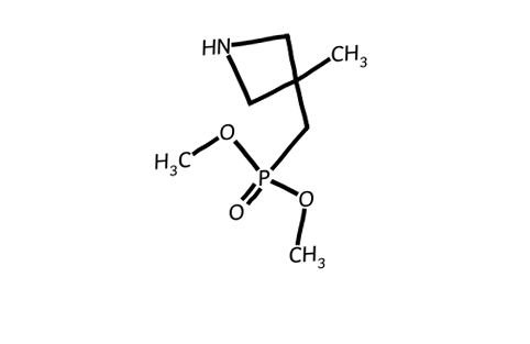 COP(=O)(CC1(C)CNC1)OC